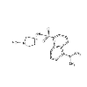 CN(C)c1cccc2c(S(=O)(=O)N[C@@H]3CCN(C#N)C3)cccc12